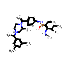 C=C/C(=C(/N=C)C(C)CC)[S+]([O-])Nc1ccc(C(=C)N2CCN(C(C)c3cc(C)cc(C)c3)CC2C)cc1